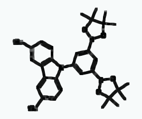 CC(C)(C)c1ccc2c(c1)c1cc(C(C)(C)C)ccc1n2-c1cc(B2OC(C)(C)C(C)(C)O2)cc(B2OC(C)(C)C(C)(C)O2)c1